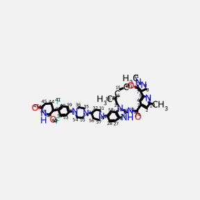 Cc1cc2cc(n1)-c1cnn(C)c1OCCC[C@@H](C)CN1/C(=N/C2=O)Nc2ccc(N3CCC(N4CCN(c5cc(F)c(C6CCC(=O)NC6=O)c(F)c5)CC4)CC3)cc21